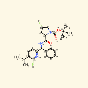 CC(C)c1ccc([C@@H](NC(=O)C2CC(F)CN2C(=O)OC(C)(C)C)c2ccccc2)nc1F